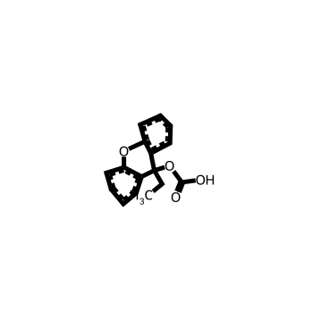 CCC1(OC(=O)O)c2ccccc2Oc2ccccc21